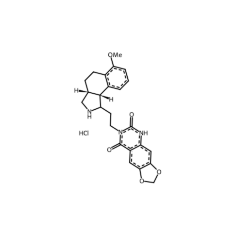 COc1cccc2c1CC[C@H]1CNC(CCn3c(=O)[nH]c4cc5c(cc4c3=O)OCO5)[C@@H]21.Cl